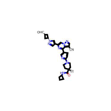 CCC1(C(=O)NC2CCC2)CCN(c2ccc(-c3nc(-c4cnn([C@H]5C[C@H](C=O)C5)c4)cn4ncc(C#N)c34)cn2)CC1